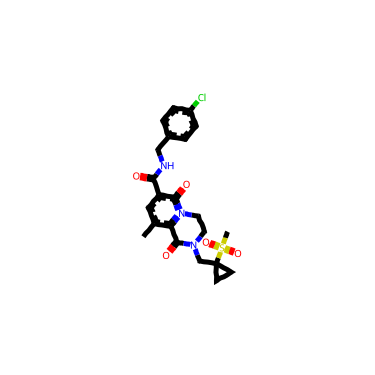 Cc1cc(C(=O)NCc2ccc(Cl)cc2)c(=O)n2c1C(=O)N(CC1(S(C)(=O)=O)CC1)CC2